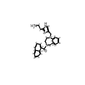 NCCc1nc(CN2CCN(C(=O)c3cccc4ccccc34)Cc3ccccc32)c[nH]1